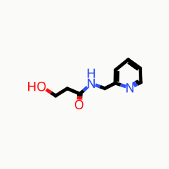 O=C(CCO)NCc1ccccn1